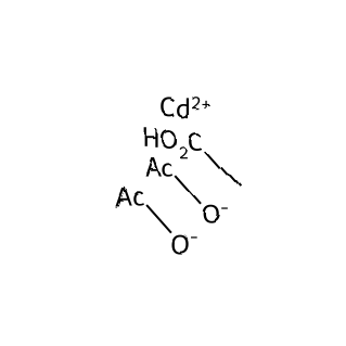 CC(=O)O.CC(=O)[O-].CC(=O)[O-].[Cd+2]